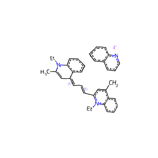 CCN1C(C)=C/C(=C/C=C/c2cc(C)c3ccccc3[n+]2CC)c2ccccc21.[I-].c1ccc2ncccc2c1